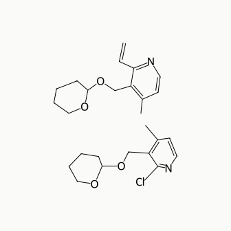 C=Cc1nccc(C)c1COC1CCCCO1.Cc1ccnc(Cl)c1COC1CCCCO1